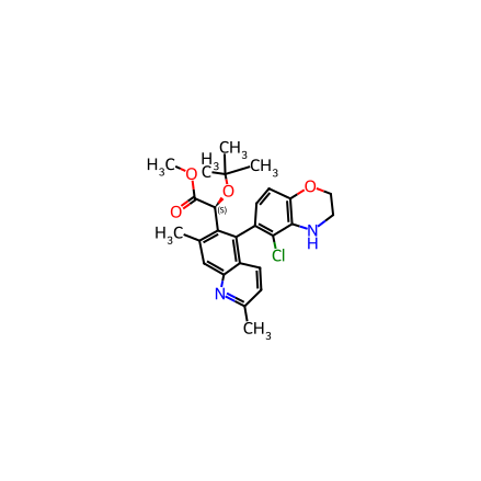 COC(=O)[C@@H](OC(C)(C)C)c1c(C)cc2nc(C)ccc2c1-c1ccc2c(c1Cl)NCCO2